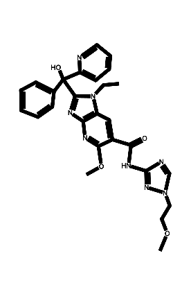 CCn1c(C(O)(c2ccccc2)c2ccccn2)nc2nc(OC)c(C(=O)Nc3ncn(CCOC)n3)cc21